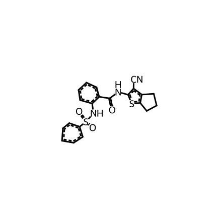 N#Cc1c(NC(=O)c2ccccc2NS(=O)(=O)c2ccccc2)sc2c1CCC2